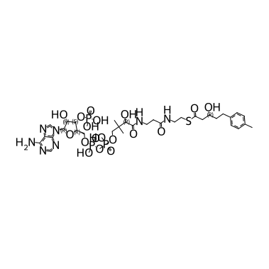 Cc1ccc(CC[C@@H](O)CC(=O)SCCNC(=O)CCNC(=O)[C@H](O)C(C)(C)COP(=O)(O)OP(=O)(O)OC[C@H]2O[C@@H](n3cnc4c(N)ncnc43)[C@H](O)[C@@H]2OP(=O)(O)O)cc1